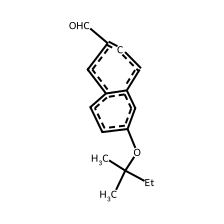 CCC(C)(C)Oc1ccc2cc(C=O)ccc2c1